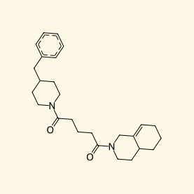 O=C(CCCC(=O)N1CCC2CCCC=C2C1)N1CCC(Cc2ccccc2)CC1